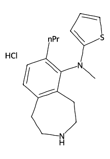 CCCc1ccc2c(c1N(C)c1cccs1)CCNCC2.Cl